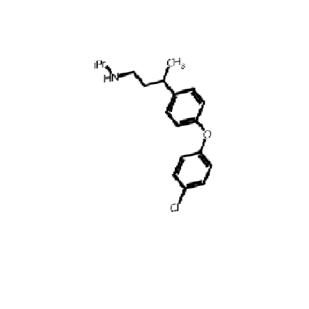 CC(C)NCCC(C)c1ccc(Oc2ccc(Cl)cc2)cc1